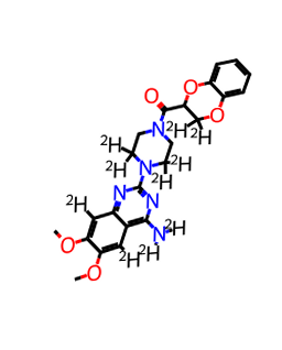 [2H]c1c(OC)c(OC)c([2H])c2c(N([2H])[2H])nc(N3C([2H])([2H])CN(C(=O)C4Oc5ccccc5OC4([2H])[2H])CC3([2H])[2H])nc12